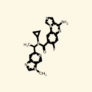 CC(c1cc2ncn(C)c2cn1)N(C(=O)c1cc2c(cc1F)nc(N)c1cncn12)C1CC1